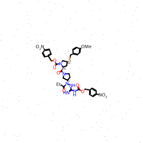 CCC(=O)N(NC(=N)NC(=O)OCc1ccc([N+](=O)[O-])cc1)[C@H]1CCN(C(=O)[C@@H]2C[C@H](SCc3ccc(OC)cc3)CN2C(=O)OCc2ccc([N+](=O)[O-])cc2)C1